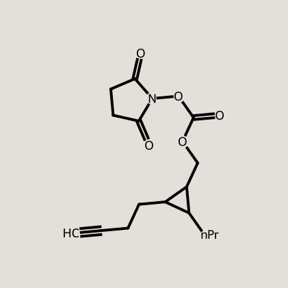 C#CCCC1C(CCC)C1COC(=O)ON1C(=O)CCC1=O